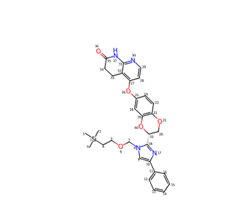 C[Si](C)(C)CCOCn1cc(-c2ccccc2)nc1[C@H]1COc2ccc(Oc3ccnc4c3CCC(=O)N4)cc2O1